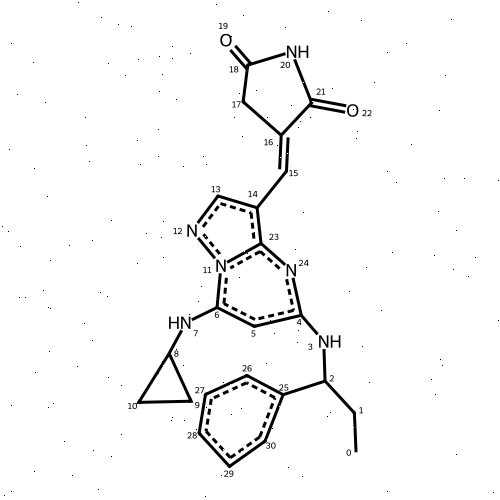 CCC(Nc1cc(NC2CC2)n2ncc(C=C3CC(=O)NC3=O)c2n1)c1ccccc1